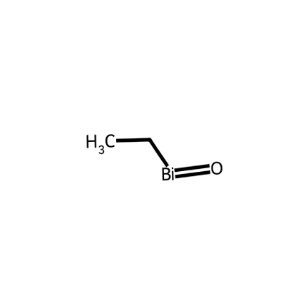 C[CH2][Bi]=[O]